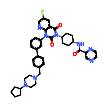 O=C(N[C@H]1CC[C@@H](n2c(=O)c3cc(F)cnc3n(-c3cccc(-c4ccc(CN5CCN(C6CCCC6)CC5)cc4)c3)c2=O)CC1)c1cnccn1